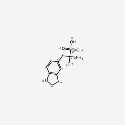 NC(O)(Cc1ccc2c(c1)CCO2)S(=O)(=O)O